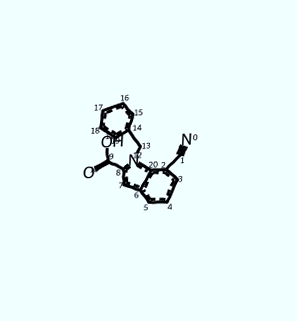 N#Cc1cccc2cc(C(=O)O)n(Cc3ccccc3)c12